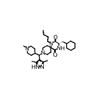 CCCCN1C(=O)[C@H](CC2CCCCC2)NC(=O)C12CCN(C(c1c(C)n[nH]c1C)C1CCN(C)CC1)CC2